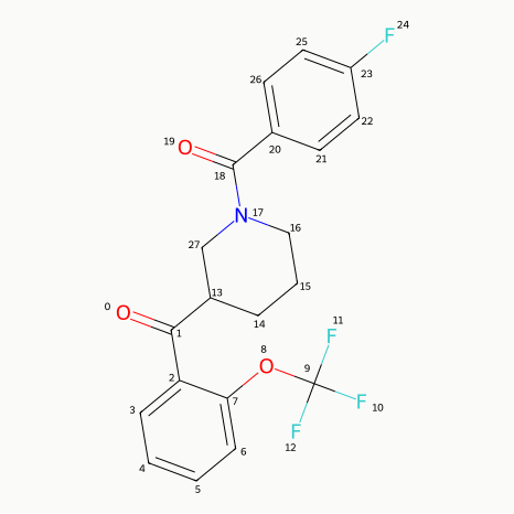 O=C(c1ccccc1OC(F)(F)F)C1CCCN(C(=O)c2ccc(F)cc2)C1